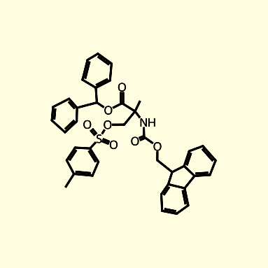 Cc1ccc(S(=O)(=O)OCC(C)(NC(=O)OCC2c3ccccc3-c3ccccc32)C(=O)OC(c2ccccc2)c2ccccc2)cc1